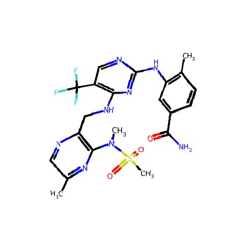 Cc1cnc(CNc2nc(Nc3cc(C(N)=O)ccc3C)ncc2C(F)(F)F)c(N(C)S(C)(=O)=O)n1